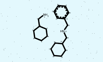 NCC1CCCCC1.c1ccc(CNCC2CCCCC2)cc1